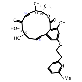 CNc1cccc(CCOc2cc(O)c3c(c2)/C=C/C[C@H](O)[C@H](O)C(=O)/C=C\[C@@H](C)[C@H](C)OC3=O)n1